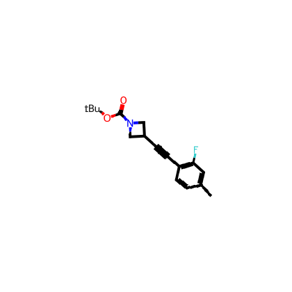 Cc1ccc(C#CC2CN(C(=O)OC(C)(C)C)C2)c(F)c1